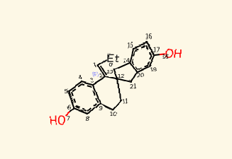 CC/C=C1/c2ccc(O)cc2CCC12Cc1ccc(O)cc1C2